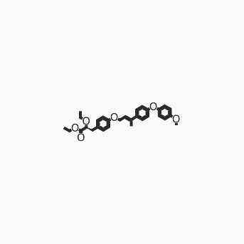 CCOC(=O)[C@H](Cc1ccc(OC/C=C(\C)c2ccc(Oc3ccc(OC)cc3)cc2)cc1)OCC